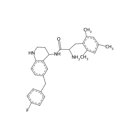 Cc1cc(C)c(CC(N)C(=O)NC2CCNc3ccc(Cc4ccc(F)cc4)cc32)c(C)c1